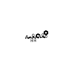 CN(C)CCNC(=O)N[C@H]1CCCN(C[C@H]2COc3ccccc3O2)C1